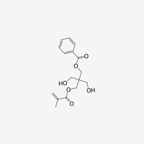 C=C(C)C(=O)OCC(CO)(CO)COC(=O)c1ccccc1